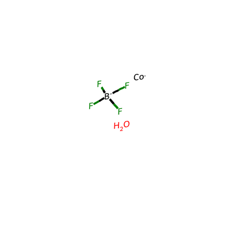 F[B-](F)(F)F.O.[Co]